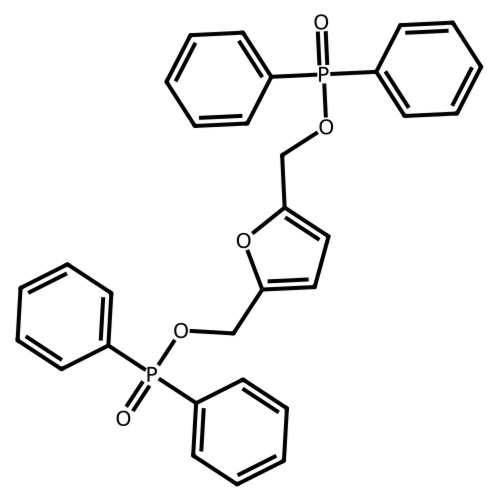 O=P(OCc1ccc(COP(=O)(c2ccccc2)c2ccccc2)o1)(c1ccccc1)c1ccccc1